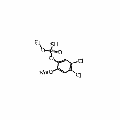 CCOP(=O)(S)Oc1cc(Cl)c(Cl)cc1OC